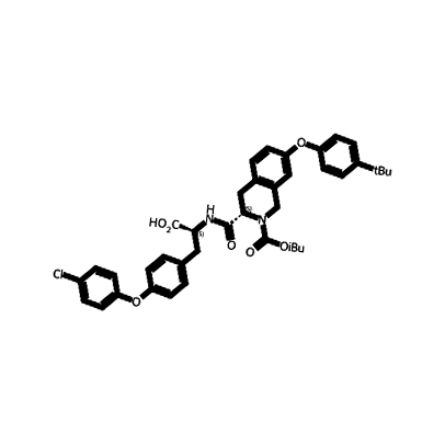 CC(C)COC(=O)N1Cc2cc(Oc3ccc(C(C)(C)C)cc3)ccc2C[C@H]1C(=O)N[C@@H](Cc1ccc(Oc2ccc(Cl)cc2)cc1)C(=O)O